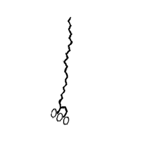 CCCCCCCCCCCCCCCCCCCCC=CC1CCC(=O)OC1=O